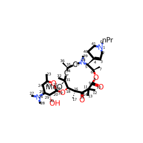 CCCN1CC=C([C@H]2[C@@H](C)OC(=O)C(C)(C)C(=O)[C@H](C)[C@@H](OC3OC(C)CC(N(C)C)[C@H]3O)[C@](C)(OC)C[C@@H](C)CN2C)CC1